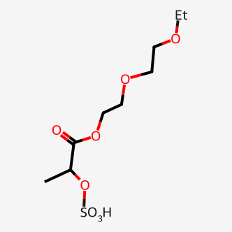 CCOCCOCCOC(=O)C(C)OS(=O)(=O)O